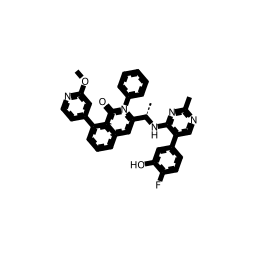 COc1cc(-c2cccc3cc([C@H](C)Nc4nc(C)ncc4-c4ccc(F)c(O)c4)n(-c4ccccc4)c(=O)c23)ccn1